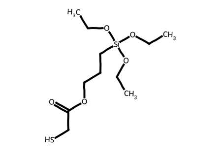 CCO[Si](CCCOC(=O)CS)(OCC)OCC